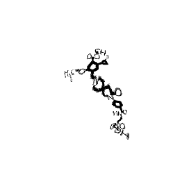 CCOc1cc(C(=O)OC)c(C2CC2)cc1CN1CCC2(CC1)CC(=O)N(c1ccc(C(=O)NCCS(=O)(=O)O)cc1)C2